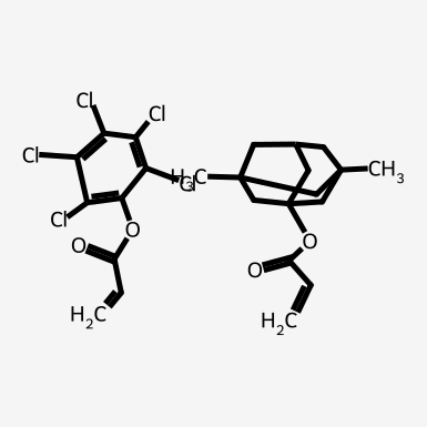 C=CC(=O)OC12CC3CC(C)(CC(C)(C3)C1)C2.C=CC(=O)Oc1c(Cl)c(Cl)c(Cl)c(Cl)c1Cl